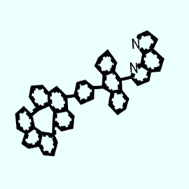 c1cnc2c(c1)ccc1ccc(-c3c4ccccc4c(-c4ccc(-c5cc6cccc7c8cccc9ccc%10cccc(c%11cccc5c%11c67)c%10c98)cc4)c4ccccc34)nc12